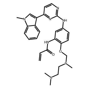 C=CC(=O)Nc1cc(Nc2nccc(-c3cn(C)c4ccccc34)n2)ccc1OCN(C)CCN(C)C